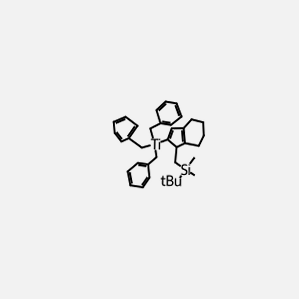 CC(C)(C)[Si](C)(C)CC1[C]([Ti]([CH2]c2ccccc2)([CH2]c2ccccc2)[CH2]c2ccccc2)=CC2=C1CCCC2